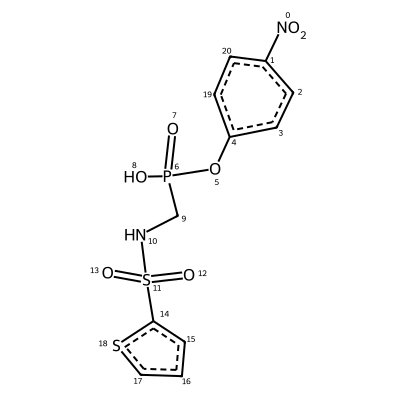 O=[N+]([O-])c1ccc(OP(=O)(O)CNS(=O)(=O)c2cccs2)cc1